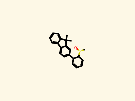 C[S+]([O-])C1C=CC=CC1c1ccc2c(c1)C(C)(C)c1ccccc1-2